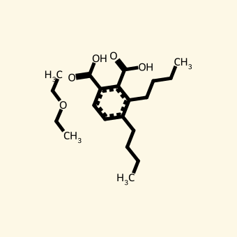 CCCCc1ccc(C(=O)O)c(C(=O)O)c1CCCC.CCOCC